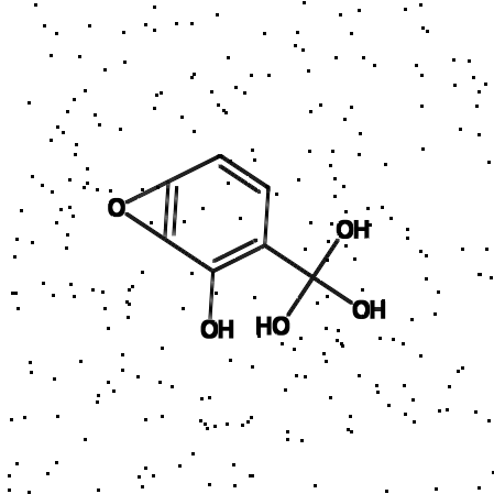 Oc1c(C(O)(O)O)ccc2c1O2